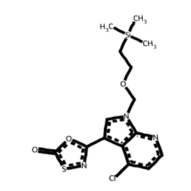 C[Si](C)(C)CCOCn1cc(-c2nsc(=O)o2)c2c(Cl)ccnc21